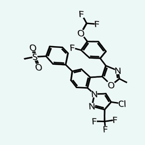 Cc1nc(-c2ccc(OC(F)F)c(F)c2)c(-c2cc(-c3cccc(S(C)(=O)=O)c3)ccc2-n2cc(Cl)c(C(F)(F)F)n2)o1